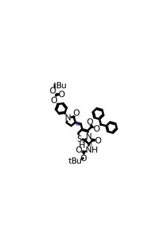 CC(C)(C)OC(=O)N[C@@H]1C(=O)N2C(C(=O)OC(c3ccccc3)c3ccccc3)=C(/C=C3\CCN(c4ccc(OC(=O)OC(C)(C)C)cc4)C3=O)CS[C@H]12